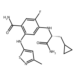 Cc1cc(Nc2cc(N[C@H](CC3CC3)C(N)=O)c(F)cc2C(N)=O)sn1